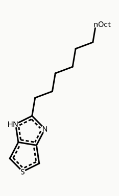 CCCCCCCCCCCCCCc1nc2cscc2[nH]1